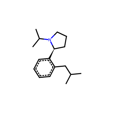 CC(C)Cc1ccccc1[C@@H]1CCCN1C(C)C